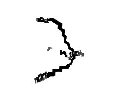 CCCCCCCC/C=C\CCCCCCCC[N+](C)(C)CCCCCCCC/C=C\CCCCCCCC.[I-]